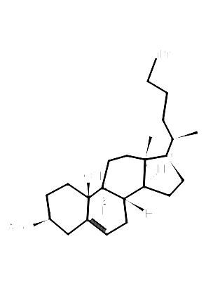 CC(=O)O[C@H]1CC[C@@]2(O)C(=CC[C@H]3[C@@H]4CC[C@H]([C@H](C)CCCC(C)C)[C@@]4(C)CC[C@@H]32)C1